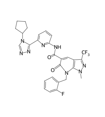 Cn1nc(C(F)(F)F)c2cc(C(=O)Nc3cccc(-c4nncn4C4CCCC4)n3)c(=O)n(Cc3ccccc3F)c21